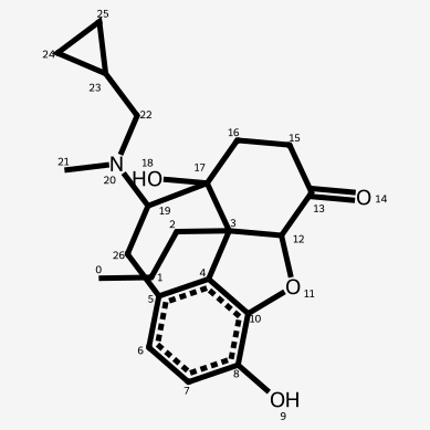 CCCC12c3c4ccc(O)c3OC1C(=O)CCC2(O)C(N(C)CC1CC1)C4